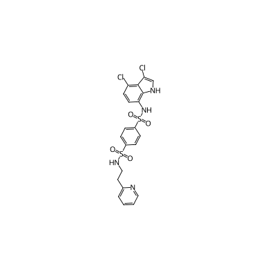 O=S(=O)(NCCc1ccccn1)c1ccc(S(=O)(=O)Nc2ccc(Cl)c3c(Cl)c[nH]c23)cc1